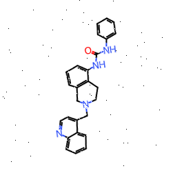 O=C(Nc1ccccc1)Nc1cccc2c1CCN(Cc1ccnc3ccccc13)C2